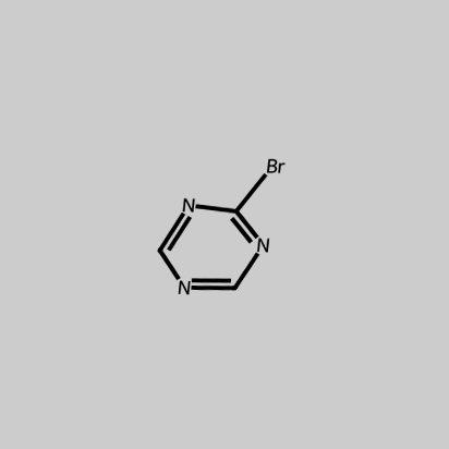 Brc1ncncn1